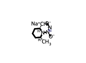 C[C@@H]1CCC[C@H](C)N1/[N+]([O-])=N\[O-].[Na+]